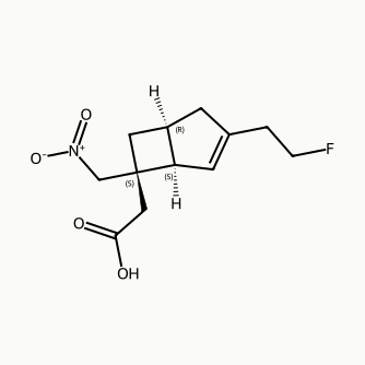 O=C(O)C[C@@]1(C[N+](=O)[O-])C[C@H]2CC(CCF)=C[C@H]21